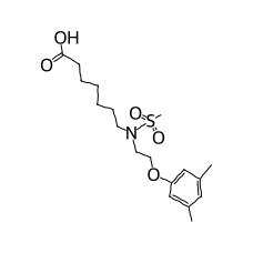 Cc1cc(C)cc(OCCN(CCCCCCC(=O)O)S(C)(=O)=O)c1